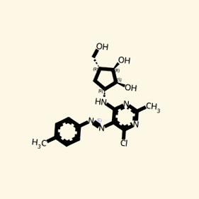 Cc1ccc(/N=N/c2c(Cl)nc(C)nc2N[C@@H]2C[C@H](CO)[C@@H](O)[C@H]2O)cc1